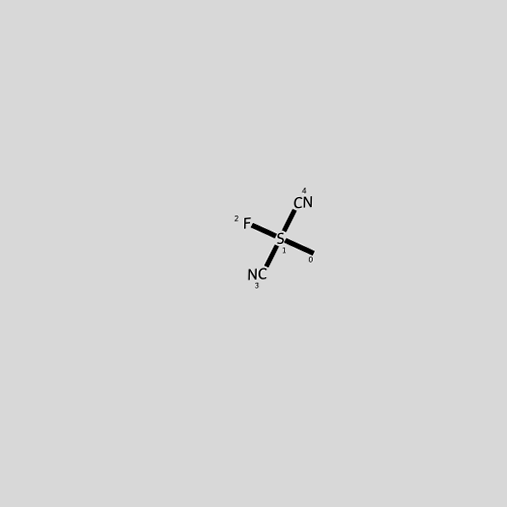 CS(F)(C#N)C#N